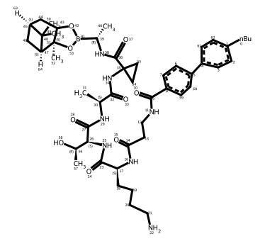 CCCCc1ccc(-c2ccc(C(=O)NCCC(=O)N[C@@H](CCCCN)C(=O)N[C@H](C(=O)N[C@@H](C)C(=O)NC3(C(=O)N[C@@H](C)B4OC5C[C@@H]6C[C@@H](C6(C)C)[C@]5(C)O4)CC3)[C@@H](C)O)cc2)cc1